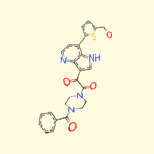 O=Cc1ccc(-c2ccnc3c(C(=O)C(=O)N4CCN(C(=O)c5ccccc5)CC4)c[nH]c23)s1